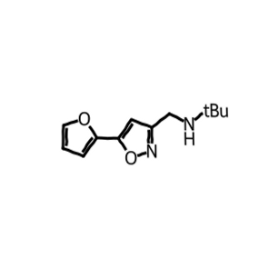 CC(C)(C)NCc1cc(-c2ccco2)on1